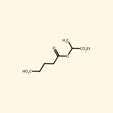 CCOC(=O)C(C)OC(=O)CCCC(=O)O